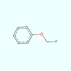 FCOc1c[c]ccc1